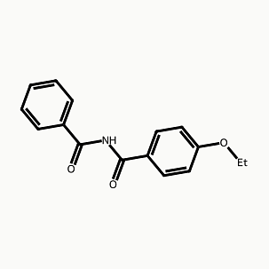 CCOc1ccc(C(=O)NC(=O)c2ccccc2)cc1